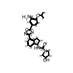 CC(C)Oc1ccc(-c2nc(-c3cccc4c3CC[C@@H]4NC(=O)N3CC[C@H](O)C3)no2)cc1N